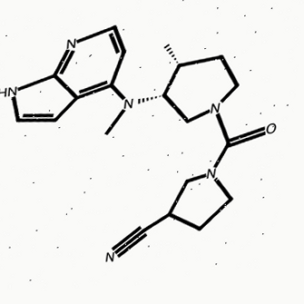 C[C@@H]1CCN(C(=O)N2CCC(C#N)C2)C[C@@H]1N(C)c1ccnc2[nH]ccc12